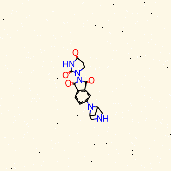 O=C1CCN(N2C(=O)c3ccc(N4C5CNCC4C5)cc3C2=O)C(=O)N1